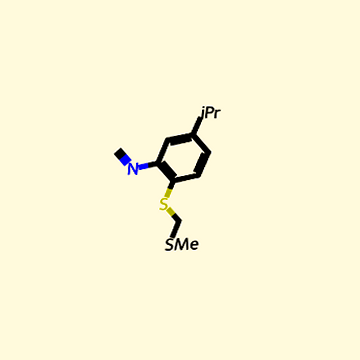 C=Nc1cc(C(C)C)ccc1SCSC